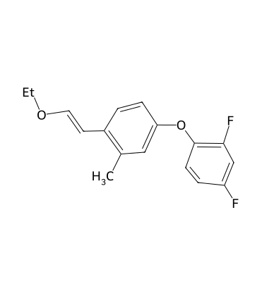 CCOC=Cc1ccc(Oc2ccc(F)cc2F)cc1C